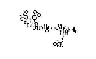 COc1cc([C@H](c2cc3c(cc2[C@@H](C)OC(=O)N(C)CCN(C)C(=O)OCCC#CC2=CC(CCCc4ncc(C)c(OC)c4C)c4nc(N)nc(Cl)c42)OCO3)C2CCOC2=O)cc(OC)c1OC